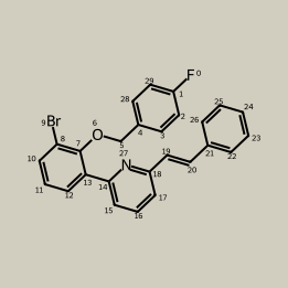 Fc1ccc(COc2c(Br)cccc2-c2cccc(C=Cc3ccccc3)n2)cc1